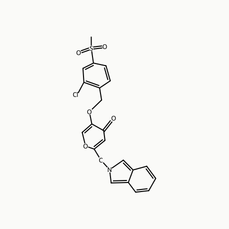 CS(=O)(=O)c1ccc(COc2coc(Cn3cc4ccccc4c3)cc2=O)c(Cl)c1